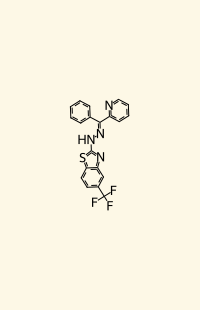 FC(F)(F)c1ccc2sc(N/N=C(\c3ccccc3)c3ccccn3)nc2c1